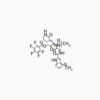 COc1cccc2[nH]c(C(=O)N[C@@H](CC(C)C)C(=O)N[C@@H](/C=C3\CCCNC3=O)C(=O)COC(=O)c3c(F)c(F)c(F)c(F)c3F)cc12